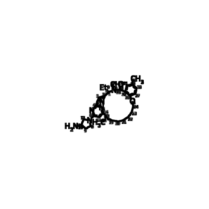 CC[C@H]1c2cc3nc(N4CC[C@H](N)C4)cc(n3n2)N(C)CCCCCCOc2ccc(C)cc2C(=O)N1C